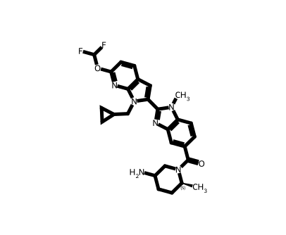 C[C@H]1CCC(N)CN1C(=O)c1ccc2c(c1)nc(-c1cc3ccc(OC(F)F)nc3n1CC1CC1)n2C